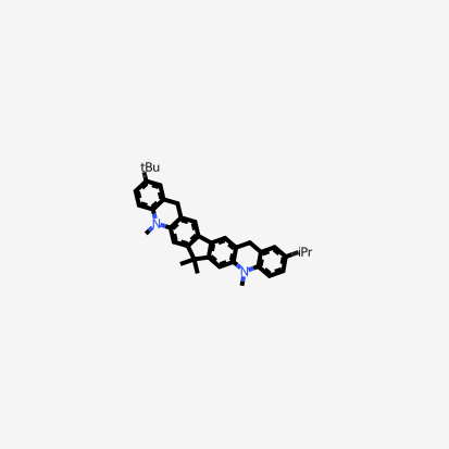 CC(C)c1ccc2c(c1)Cc1cc3c(cc1N2C)C(C)(C)c1cc2c(cc1-3)Cc1cc(C(C)(C)C)ccc1N2C